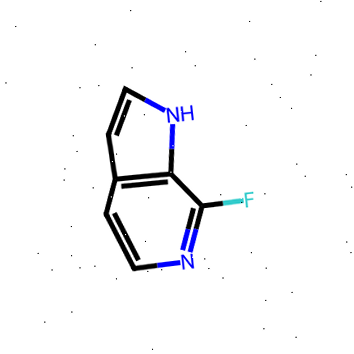 Fc1nccc2cc[nH]c12